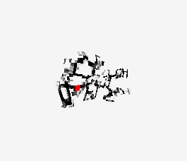 O=C(O)N(C(=O)O)C1=NC2(CO1)c1cc(Br)ccc1OC1(CCC1)C21COC1